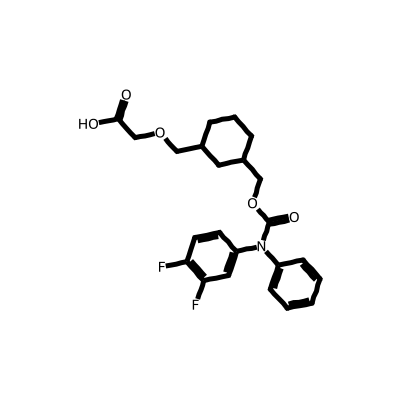 O=C(O)COCC1CCCC(COC(=O)N(c2ccccc2)c2ccc(F)c(F)c2)C1